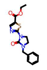 CCOC(=O)c1cnc(N2CCN(Cc3ccccc3)C2=O)s1